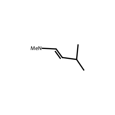 CNC=CC(C)C